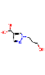 OCCCn1cc(C(O)O)cn1